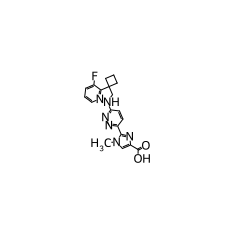 Cn1cc(C(=O)O)nc1-c1ccc(NCC2(c3ncccc3F)CCC2)nn1